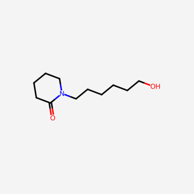 O=C1CCCCN1CCCCCCO